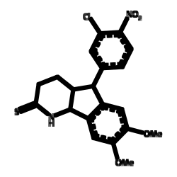 COc1cc2c(cc1OC)C(c1ccc([N+](=O)[O-])c(Cl)c1)C1CCC(=S)NC21